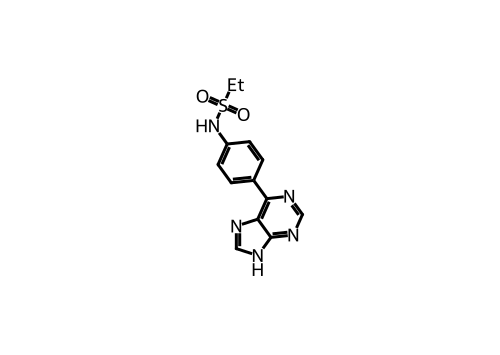 CCS(=O)(=O)Nc1ccc(-c2ncnc3[nH]cnc23)cc1